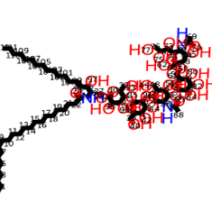 CCCCCCCC/C=C\CCCCCCCCCCCCCC(=O)N[C@@H](CO[C@@H]1OC(CO)[C@@H](O[C@@H]2OC(CO)[C@H](O)[C@H](O[C@@H]3OC(CO)[C@@H](O)[C@H](O[C@@H]4OC(CO[C@]5(C(=O)O)CC(O)[C@@H](NC(C)=O)C([C@H](O)[C@H](O)CO)O5)[C@H](O)[C@H](O)C4O)C3NC(C)=O)C2O)[C@H](O)C1O)[C@H](O)/C=C/CCCCCCCCCCCCC